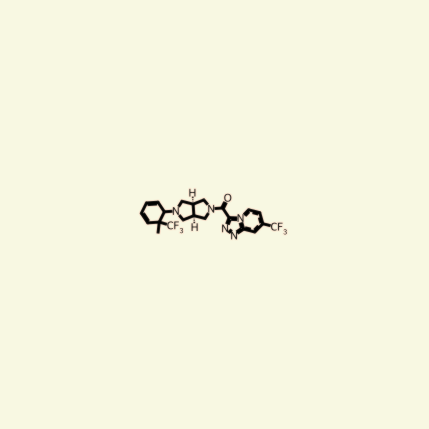 CC1(C(F)(F)F)C=CC=CC1N1C[C@H]2CN(C(=O)c3nnc4cc(C(F)(F)F)ccn34)C[C@H]2C1